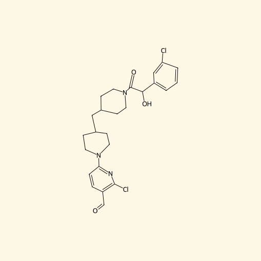 O=Cc1ccc(N2CCC(CC3CCN(C(=O)C(O)c4cccc(Cl)c4)CC3)CC2)nc1Cl